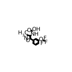 Cc1noc(-c2cccc(OC(F)(F)F)c2)c1NC(=O)O